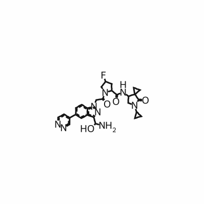 NC(O)c1nn(CC(=O)N2CC(F)CC2C(=O)NC2CN(C3CC3)C(=O)C23CC3)c2ccc(-c3ccnnc3)cc12